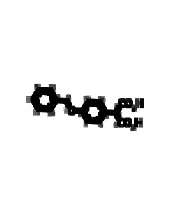 O=C(O)C(C(=O)O)c1ccc(OCc2ccccc2)cc1